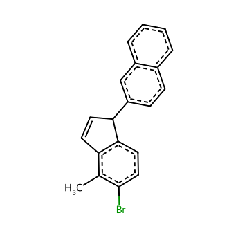 Cc1c(Br)ccc2c1C=CC2c1ccc2ccccc2c1